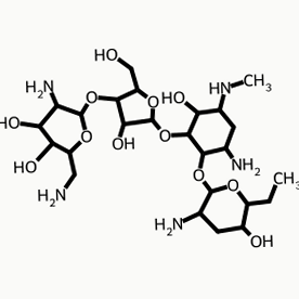 CCC1OC(OC2C(N)CC(NC)C(O)C2OC2OC(CO)C(OC3OC(CN)C(O)C(O)C3N)C2O)C(N)CC1O